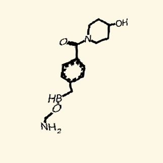 NCOBCc1ccc(C(=O)N2CCC(O)CC2)cc1